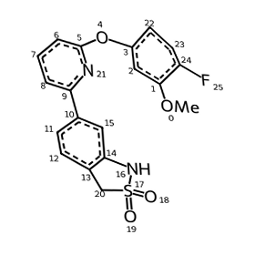 COc1cc(Oc2cccc(-c3ccc4c(c3)NS(=O)(=O)C4)n2)ccc1F